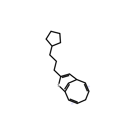 C1=C2/C=C\C/C=C\C1C=C(CCCC1CCCC1)S2